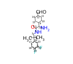 CC(C)(CNC(=O)C(N)C1CCC(C=O)CC1)c1ccc(F)c(F)c1